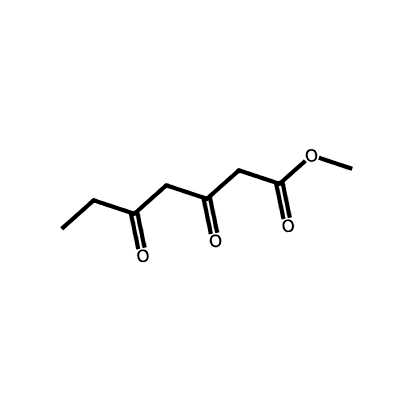 CCC(=O)CC(=O)CC(=O)OC